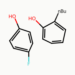 CCCCc1ccccc1O.Oc1ccc(F)cc1